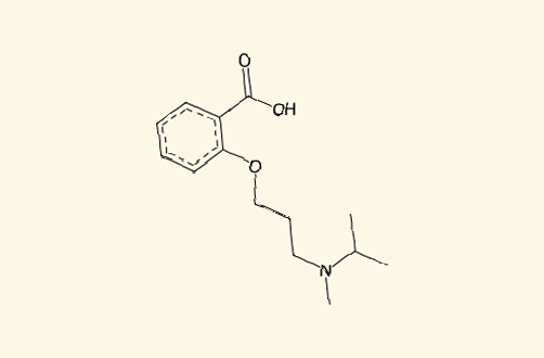 CC(C)N(C)CCCOc1ccccc1C(=O)O